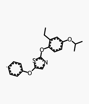 CCc1cc(OC(C)C)ccc1Oc1ncc(Oc2cc[c]cc2)s1